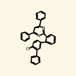 Clc1ccc(-c2ccccc2-c2nc(-c3ccccc3)cc(-c3ccccc3)n2)cc1-c1ccccc1